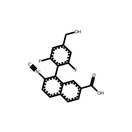 [C-]#[N+]c1ccc2ccc(C(=O)O)cc2c1-c1c(F)cc(CO)cc1F